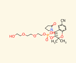 CC1(C)Oc2ccc(C#N)cc2[C@@H](N2CCCC2=O)[C@@H]1OP(=O)(O)OCCOCCOCCO